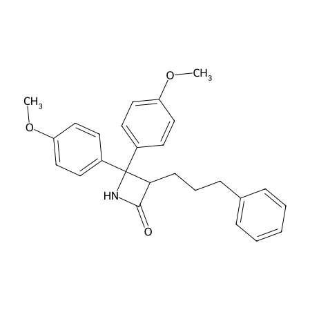 COc1ccc(C2(c3ccc(OC)cc3)NC(=O)C2CCCc2ccccc2)cc1